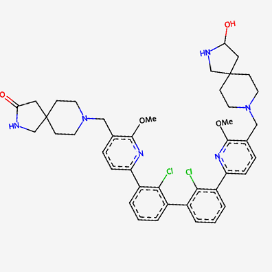 COc1nc(-c2cccc(-c3cccc(-c4ccc(CN5CCC6(CC5)CNC(O)C6)c(OC)n4)c3Cl)c2Cl)ccc1CN1CCC2(CC1)CNC(=O)C2